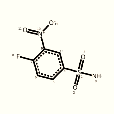 [NH]S(=O)(=O)c1ccc(F)c([N+](=O)[O-])c1